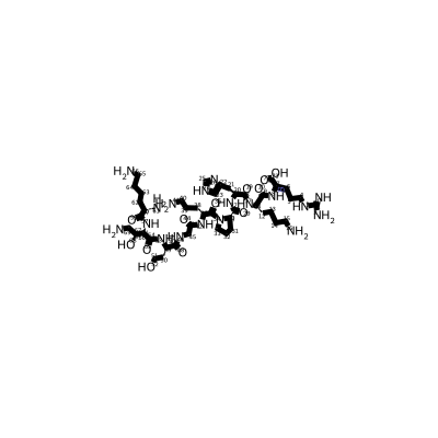 N=C(N)NCC/C=C(\NC(=O)[C@H](CCCCN)NC(=O)[C@H](Cc1c[nH]cn1)NC(=O)[C@@H]1CCCN1C(=O)[C@@H](CCCN)NC(=O)CNC(=O)[C@H](CCO)NC(=O)[C@@H](NC(=O)[C@@H](N)CCCCN)[C@@H](O)CN)C(=O)O